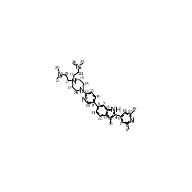 Cc1cc(-c2[nH]c3cc(-c4ccc(N5CC[N+](CCN(C)C)(CCN(C)C)CC5)nc4)ccc3c2C)cc(C)n1